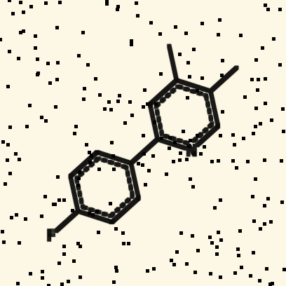 Cc1cnc(-c2ccc(F)cc2)cc1C